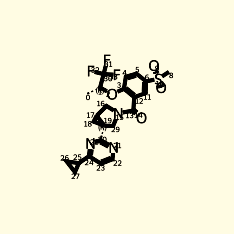 C[C@@H](Oc1ccc(S(C)(=O)=O)cc1C(=O)N1CC2C[C@]2(c2nccc(C3CC3)n2)C1)C(F)(F)F